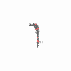 CCCCCCC(O)CCCCCCCCCCC(=O)OC1CC[C@@]2(C)C(=CC[C@H]3[C@@H]4CC[C@H]([C@H](C)CCCC(C)C)[C@@]4(C)CC[C@@H]32)C1